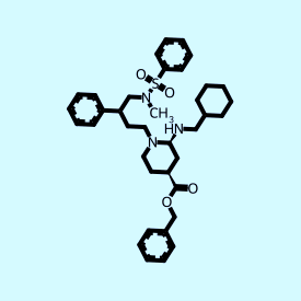 CN(CC(CCN1CC[C@H](C(=O)OCc2ccccc2)C[C@@H]1NCC1CCCCC1)c1ccccc1)S(=O)(=O)c1ccccc1